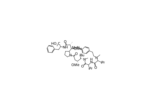 CC[C@H](C)[C@@H]([C@@H](CC(=O)N1CCCC1[C@H](OC)[C@@H](C)C(=O)NC(Cc1ccccc1)C(=O)O)OC)N(C)C(=O)C(NC(=O)C(C(C)C)N(C)CCc1ccc(NC)cc1)C(C)C